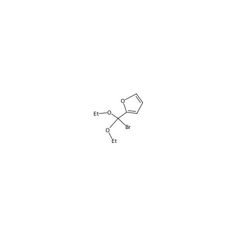 CCOC(Br)(OCC)c1ccco1